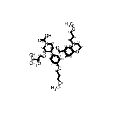 COCCCOc1ccc([C@@H]2[C@@H](OCc3ccc4c(c3)N(CCCOC)CCO4)CN(C(=O)O)C[C@H]2OCC(=O)N(C)C)cc1